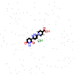 Cl.O=C1CC[C@@H](c2ccc(N3CCC(C(=O)O)CC3)nn2)C(=O)N1